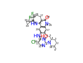 CC1CCC(CO)N(c2ncc(Cl)c(Nc3ccc4c(c3)c3c(c(=O)n4C)CCC(F)(F)[C@H](C4CC4)N3)n2)C1